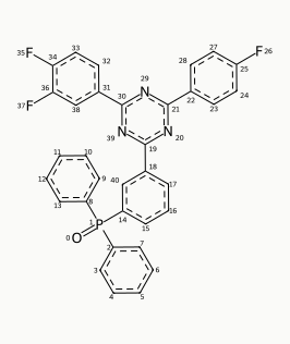 O=P(c1ccccc1)(c1ccccc1)c1cccc(-c2nc(-c3ccc(F)cc3)nc(-c3ccc(F)c(F)c3)n2)c1